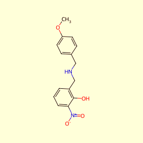 COc1ccc(CNCc2cccc([N+](=O)[O-])c2O)cc1